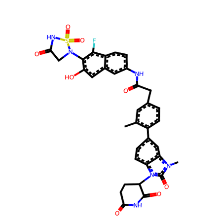 Cc1cc(CC(=O)Nc2ccc3c(F)c(N4CC(=O)NS4(=O)=O)c(O)cc3c2)ccc1-c1ccc2c(c1)n(C)c(=O)n2C1CCC(=O)NC1=O